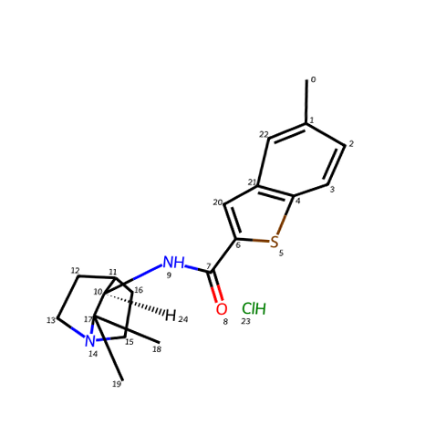 Cc1ccc2sc(C(=O)N[C@@H]3C4CCN(CC4)C3(C)C)cc2c1.Cl